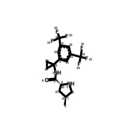 C[C@@H]1CN[C@@H](C(=O)NC2(c3cc(C(F)(F)F)cc(C(F)(F)F)c3)CC2)C1